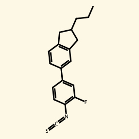 CCCC1Cc2ccc(-c3ccc(N=C=S)c(F)c3)cc2C1